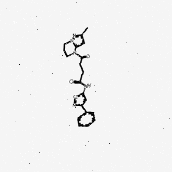 Cc1cc2n(n1)CCCN2C(=O)CCC(=O)Nc1cc(-c2ccccc2)no1